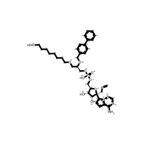 C=NC[C@@]1(c2ccc3c(N)ncnn23)O[C@H](COP(=O)(O)OC[C@@H](COCCCCCCCCCCCCCCCCCC)OCc2ccc(-c3ccccc3)cc2)[C@@H](O)[C@H]1O